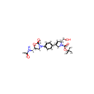 CC(=O)NC[C@H]1CN(c2ccc(C3=C[C@@H](CO)N(C(=O)OC(C)(C)C)C3)cc2)C(=O)O1